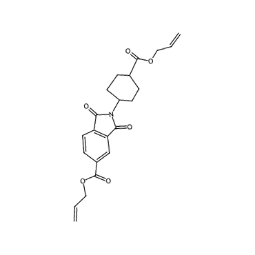 C=CCOC(=O)c1ccc2c(c1)C(=O)N(C1CCC(C(=O)OCC=C)CC1)C2=O